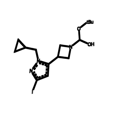 CC(C)(C)OC(O)N1CC(c2cc(I)nn2CC2CC2)C1